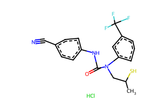 CC(S)CN(C(=O)Nc1ccc(C#N)cc1)c1cccc(C(F)(F)F)c1.Cl